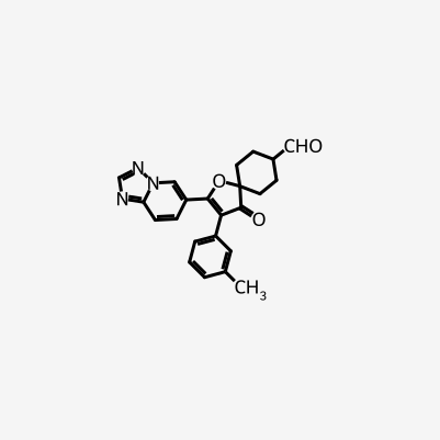 Cc1cccc(C2=C(c3ccc4ncnn4c3)OC3(CCC(C=O)CC3)C2=O)c1